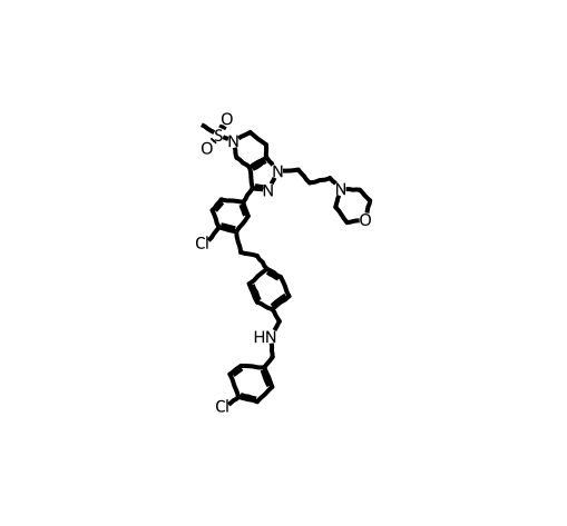 CS(=O)(=O)N1CCc2c(c(-c3ccc(Cl)c(CCc4ccc(CNCc5ccc(Cl)cc5)cc4)c3)nn2CCCN2CCOCC2)C1